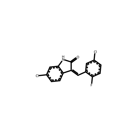 O=C1Nc2cc(Cl)ccc2C1=Cc1cc(Cl)ccc1F